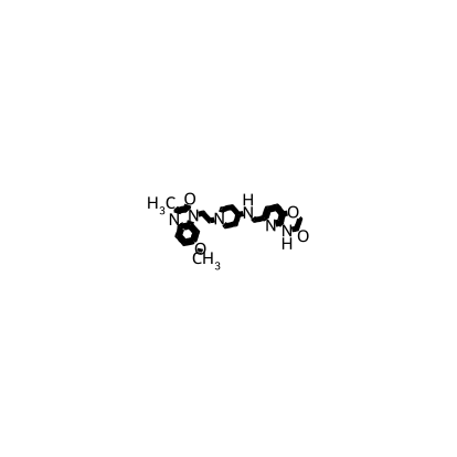 COc1ccc2nc(C)c(=O)n(CCN3CCC(NCc4ccc5c(n4)NC(=O)CO5)CC3)c2c1